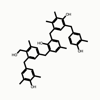 Cc1cc(Cc2cc(C)c(CO)c(Cc3cc(C)c(O)c(C)c3)c2)c(O)c(Cc2cc(Cc3ccc(O)c(C)c3)c(O)c(C)c2C)c1